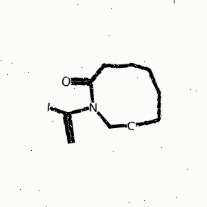 C=C(I)N1CCCCCCCC1=O